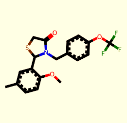 COc1ccc(C)cc1C1SCC(=O)N1Cc1ccc(OC(F)(F)F)cc1